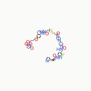 CC(C)(CC(=O)N/N=C1\CCCc2cc(OCCCC(=O)ON3C(=O)CCC3=O)ccc21)SSCCC(=O)N1CCN(C2CCN(C(=O)NCc3ccc(NC(=O)[C@H]4C[C@@H]4c4cccnc4)cc3F)CC2)CC1